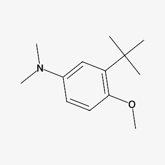 COc1ccc(N(C)C)cc1C(C)(C)C